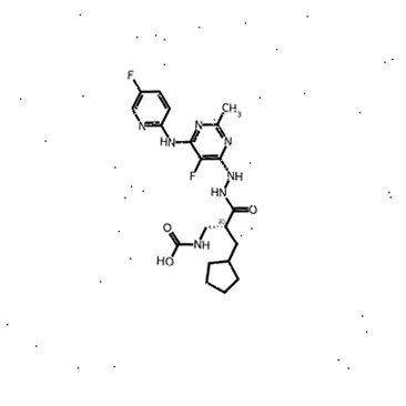 Cc1nc(NNC(=O)[C@@H](CNC(=O)O)CC2CCCC2)c(F)c(Nc2ccc(F)cn2)n1